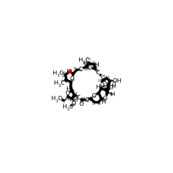 C=C1C2C[C@@H]3O[C@H](CC)[C@H](OC)[C@H]3CC(=O)C[C@H]3CC[C@@H]4O[C@@H]5[C@@H](I)[C@@H](O[C@@]6(CC[C@H]7CC(=C)[C@H](CC[C@@H](C[C@H]1C)O2)O7)C[C@@H](O)[C@@H]5O6)C4O3